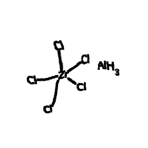 [AlH3].[Cl][Zr]([Cl])([Cl])([Cl])[Cl]